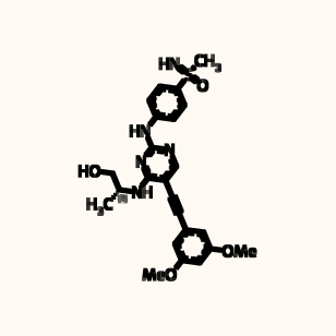 COc1cc(C#Cc2cnc(Nc3ccc(S(C)(=N)=O)cc3)nc2N[C@H](C)CO)cc(OC)c1